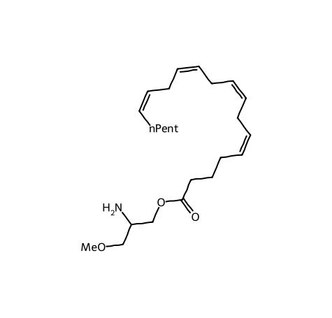 CCCCC/C=C\C/C=C\C/C=C\C/C=C\CCCC(=O)OCC(N)COC